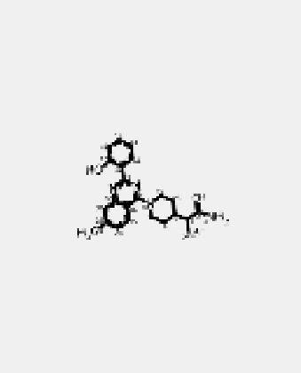 CCCC(C(N)=O)C1CCN(c2nc(-c3ccccc3O)nc3cc(C)ccc23)CC1